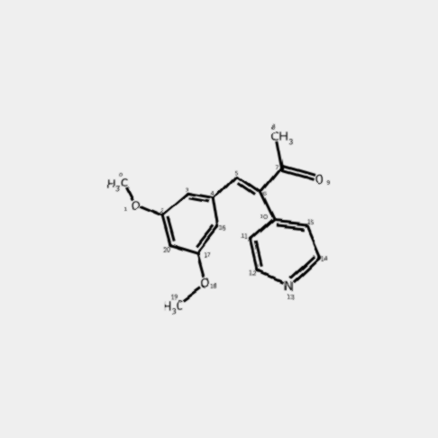 COc1cc(/C=C(/C(C)=O)c2ccncc2)cc(OC)c1